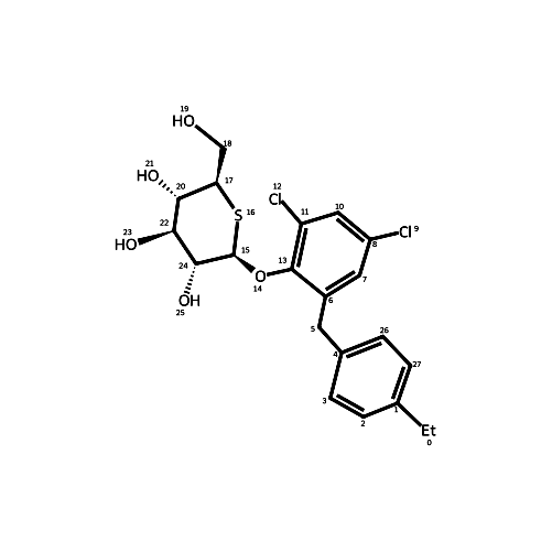 CCc1ccc(Cc2cc(Cl)cc(Cl)c2O[C@@H]2S[C@H](CO)[C@@H](O)[C@H](O)[C@H]2O)cc1